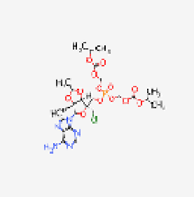 C#C[C@@]12OC(C)O[C@@H]1[C@@](CCl)(COP(=O)(OCOC(=O)OC(C)C)OCOC(=O)OC(C)C)O[C@H]2n1cnc2c(N)ncnc21